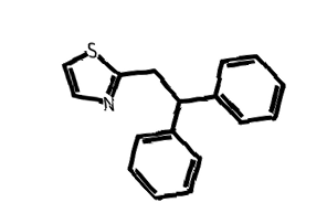 c1ccc(C(Cc2nccs2)c2ccccc2)cc1